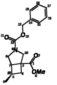 COC(=O)C12C[C@@H](C)C1CN(C(=O)OCc1ccccc1)C2